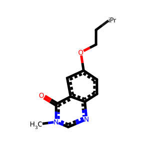 CC(C)CCOc1ccc2ncn(C)c(=O)c2c1